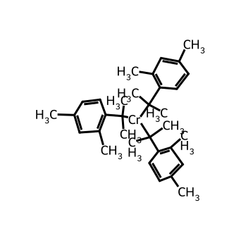 Cc1ccc([C](C)(C)[Cr]([C](C)(C)c2ccc(C)cc2C)[C](C)(C)c2ccc(C)cc2C)c(C)c1